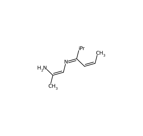 C\C=C/C(=N\C=C(\C)N)C(C)C